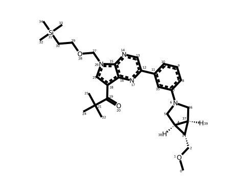 COC[C@@H]1[C@H]2CN(c3cccc(-c4cnc5c(n4)c(C(=O)C(C)(C)C)cn5COCC[Si](C)(C)C)c3)C[C@@H]12